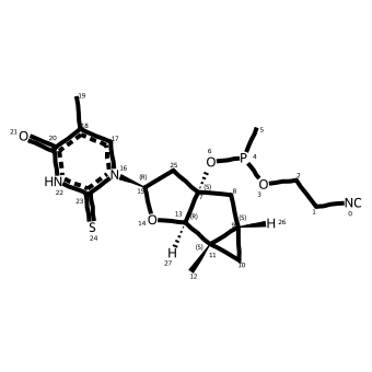 [C-]#[N+]CCOP(C)O[C@]12C[C@@H]3C[C@]3(C)[C@H]1O[C@@H](n1cc(C)c(=O)[nH]c1=S)C2